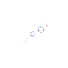 CC1(COc2ccn(-c3ccc(C(=O)O)c(Cl)n3)n2)CC(F)C1